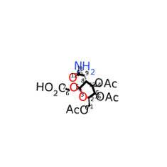 CC(=O)OC[C@H]1O[C@@H](OCC(=O)O)[C@H](CC(N)=O)[C@@H](OC(C)=O)[C@H]1OC(C)=O